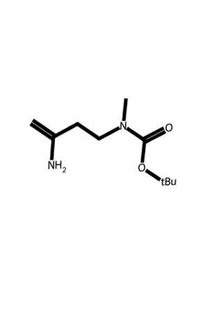 C=C(N)CCN(C)C(=O)OC(C)(C)C